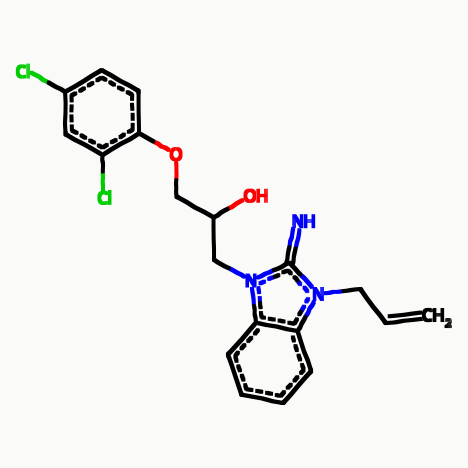 C=CCn1c(=N)n(CC(O)COc2ccc(Cl)cc2Cl)c2ccccc21